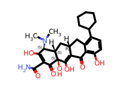 CN(C)[C@@H]1C(O)=C(C(N)=O)C(=O)[C@@]2(O)C(O)=C3C(=O)c4c(O)ccc(C5CCCCC5)c4C[C@H]3C[C@@H]12